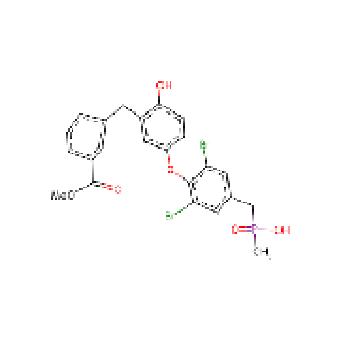 COC(=O)c1cccc(Cc2cc(Oc3c(Br)cc(CP(C)(=O)O)cc3Br)ccc2O)c1